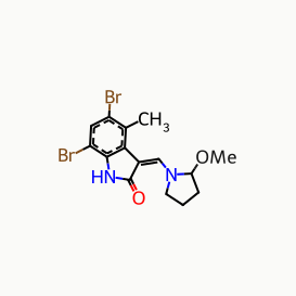 COC1CCCN1C=C1C(=O)Nc2c(Br)cc(Br)c(C)c21